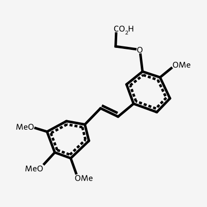 COc1ccc(C=Cc2cc(OC)c(OC)c(OC)c2)cc1OCC(=O)O